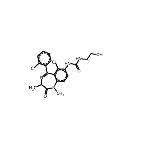 CC1N=C(c2ccccc2Cl)c2c(ccc(NC(=O)NCCO)c2Cl)N(C)C1=O